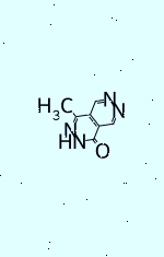 Cc1n[nH]c(=O)c2cnncc12